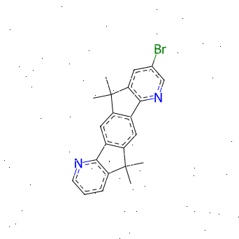 CC1(C)c2cc3c(cc2-c2ncccc21)C(C)(C)c1cc(Br)cnc1-3